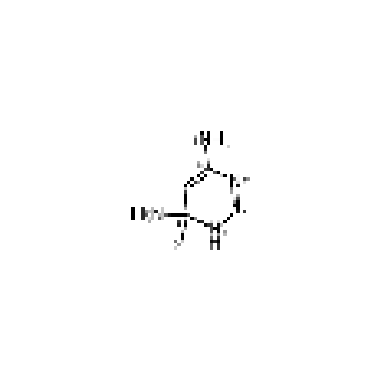 CC1(N)C=C(N)N=CN1